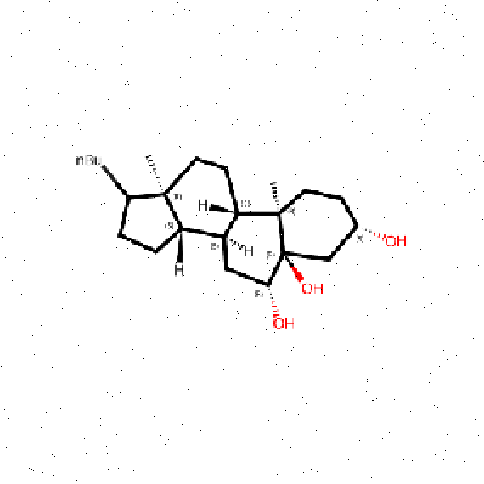 CCCCC1CC[C@H]2[C@@H]3C[C@@H](O)[C@@]4(O)C[C@@H](O)CC[C@]4(C)[C@H]3CC[C@]12C